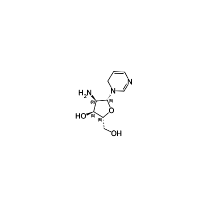 N[C@@H]1[C@H](O)[C@@H](CO)O[C@H]1N1C=NC=CC1